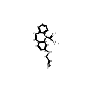 CC(=O)N1c2ccccc2C=Cc2ccc(SCC=N)cc21